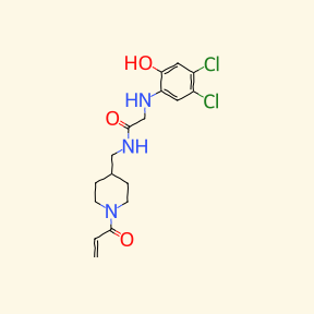 C=CC(=O)N1CCC(CNC(=O)CNc2cc(Cl)c(Cl)cc2O)CC1